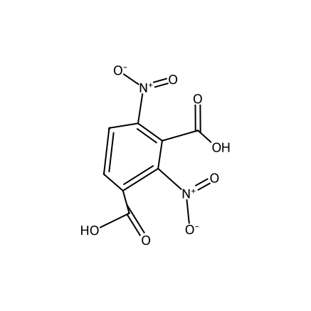 O=C(O)c1ccc([N+](=O)[O-])c(C(=O)O)c1[N+](=O)[O-]